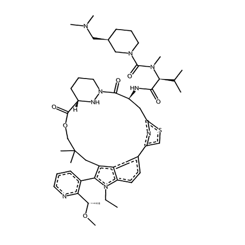 CCn1c(-c2cccnc2[C@H](C)OC)c2c3cc(ccc31)-c1csc(n1)C[C@H](NC(=O)[C@H](C(C)C)N(C)C(=O)N1CCC[C@H](CN(C)C)C1)C(=O)N1CCC[C@H](N1)C(=O)OCC(C)(C)C2